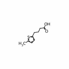 Cc1ccc(CCCC(=O)O)s1